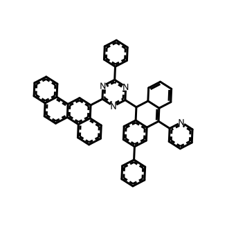 C1=CC2=C(c3ccccn3)c3cc(-c4ccccc4)ccc3C(c3nc(-c4ccccc4)nc(-c4cc5c6ccccc6ccc5c5ccccc45)n3)C2C=C1